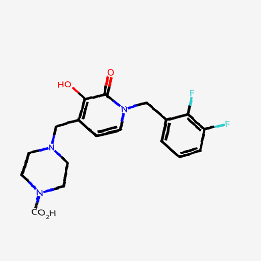 O=C(O)N1CCN(Cc2ccn(Cc3cccc(F)c3F)c(=O)c2O)CC1